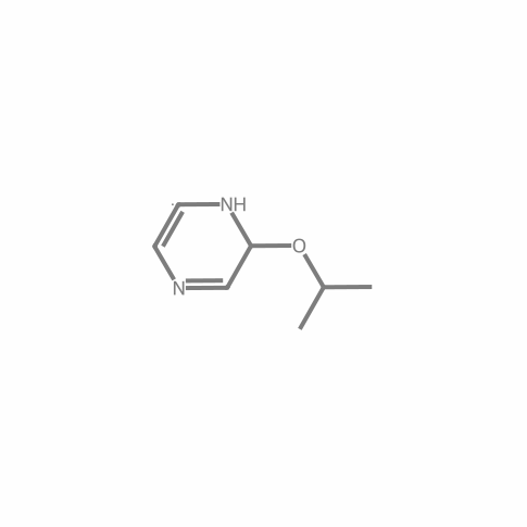 CC(C)OC1C=NC=[C]N1